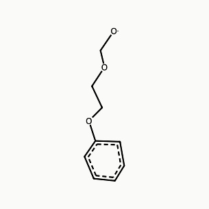 [O]COCCOc1ccccc1